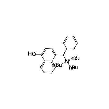 CCCC[N+](CCCC)(CCCC)C(c1ccccc1)c1ccc(O)c2ccccc12